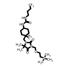 CC1(CN2C(=O)N(COCC[Si](C)(C)C)C(=O)C2(C)C)CCC(NC(=O)NCCCC(F)(F)F)CC1